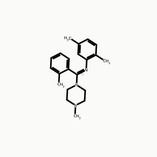 Cc1ccc(C)c(/N=C(\c2ccccc2C)N2CCN(C)CC2)c1